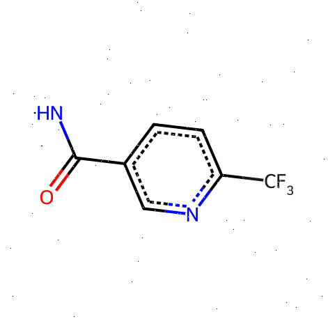 [NH]C(=O)c1ccc(C(F)(F)F)nc1